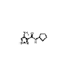 Nc1c[nH]nc1C(=O)NC1CCCC1